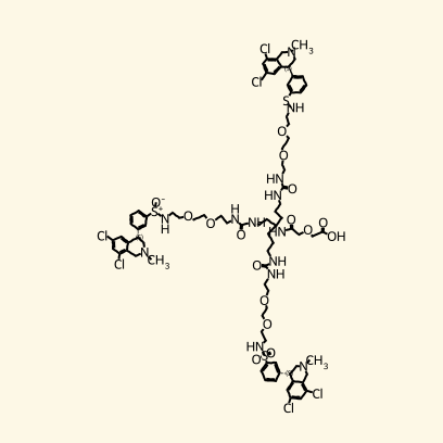 CN1Cc2c(Cl)cc(Cl)cc2[C@H](c2cccc(SNCCOCCOCCNC(=O)NCCCC(CCCNC(=O)NCCOCCOCCNS(=O)(=O)c3cccc([C@@H]4CN(C)Cc5c(Cl)cc(Cl)cc54)c3)(CCNC(=O)NCCOCCOCCN[S+]([O-])c3cccc([C@@H]4CN(C)Cc5c(Cl)cc(Cl)cc54)c3)NC(=O)COCC(=O)O)c2)C1